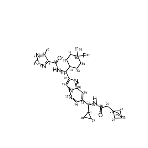 Cc1nonc1C(=O)N[C@H](c1cn2ncc(C(NC(=O)CC34CC(C3)C4)C3CC3)cc2n1)C1CCC(F)(F)CC1